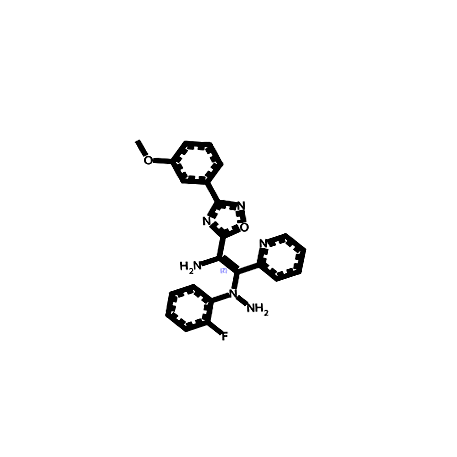 COc1cccc(-c2noc(/C(N)=C(\c3ccccn3)N(N)c3ccccc3F)n2)c1